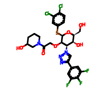 O=C(CO[C@@H]1[C@@H](n2cc(-c3cc(F)c(F)c(F)c3)nn2)[C@@H](O)[C@@H](CO)O[C@@H]1Sc1ccc(Cl)c(Cl)c1)N1CCCC(O)C1